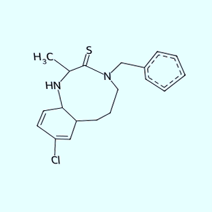 CC1NC2C=CC(Cl)=CC2CCCN(Cc2ccccc2)C1=S